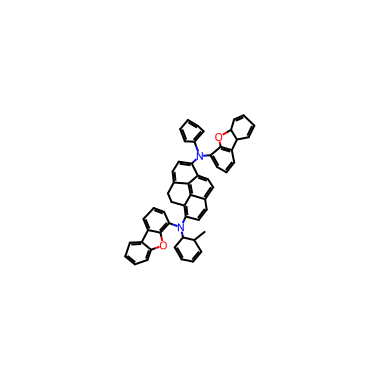 CC1C=CC=CC1N(c1ccc2ccc3c(N(c4ccccc4)c4cccc5c4OC4C=CC=CC54)ccc4c3c2c1CC4)c1cccc2c1oc1ccccc12